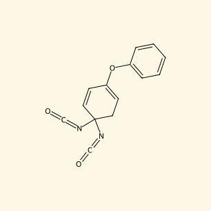 O=C=NC1(N=C=O)C=CC(Oc2ccccc2)=CC1